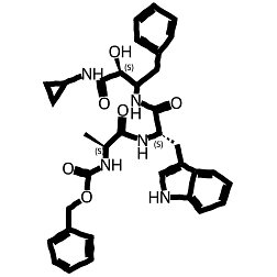 C[C@H](NC(=O)OCc1ccccc1)C(=O)N[C@@H](Cc1c[nH]c2ccccc12)C(=O)NC(Cc1ccccc1)[C@H](O)C(=O)NC1CC1